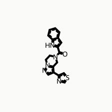 O=C(c1cc2ccccc2[nH]1)N1CCn2ncc(-c3cscn3)c2C1